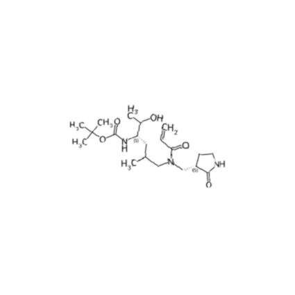 C=CC(=O)N(CC(C)C[C@H](NC(=O)OC(C)(C)C)C(C)O)C[C@@H]1CCNC1=O